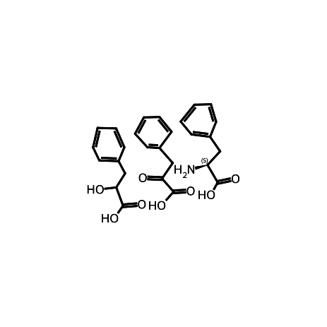 N[C@@H](Cc1ccccc1)C(=O)O.O=C(O)C(=O)Cc1ccccc1.O=C(O)C(O)Cc1ccccc1